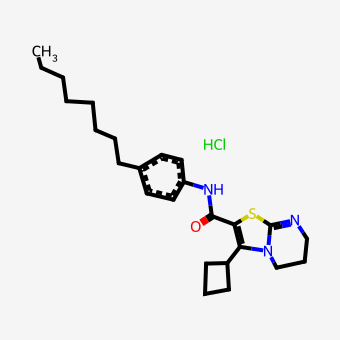 CCCCCCCCc1ccc(NC(=O)C2=C(C3CCC3)N3CCCN=C3S2)cc1.Cl